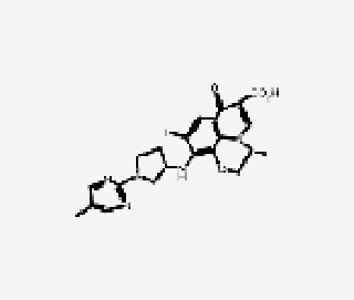 Cc1cnc(N2CCC(Nc3c(F)cc4c(=O)c(C(=O)O)cn5c4c3OC[C@@H]5C)C2)nc1